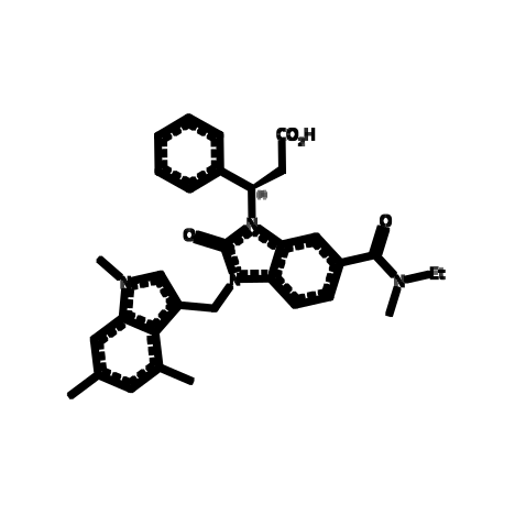 CCN(C)C(=O)c1ccc2c(c1)n([C@H](CC(=O)O)c1ccccc1)c(=O)n2Cc1cn(C)c2cc(C)cc(C)c12